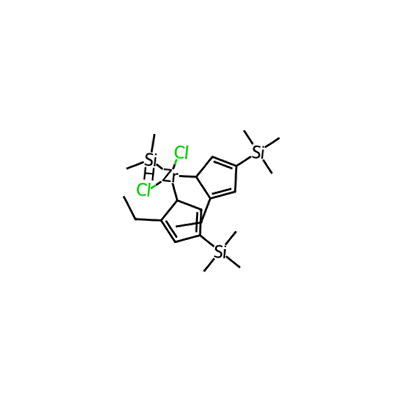 CCC1=CC([Si](C)(C)C)=C[CH]1[Zr]([Cl])([Cl])([CH]1C=C([Si](C)(C)C)C=C1CC)[SiH](C)C